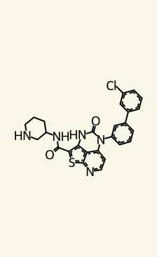 O=C(NC1CCCNC1)c1sc2nccc3c2c1NC(=O)N3c1cccc(-c2cccc(Cl)c2)c1